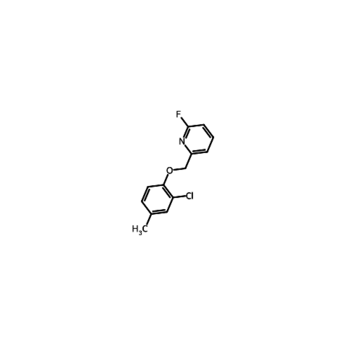 Cc1ccc(OCc2cccc(F)n2)c(Cl)c1